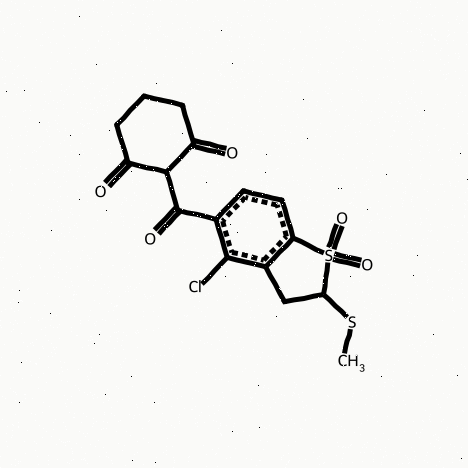 CSC1Cc2c(ccc(C(=O)C3C(=O)CCCC3=O)c2Cl)S1(=O)=O